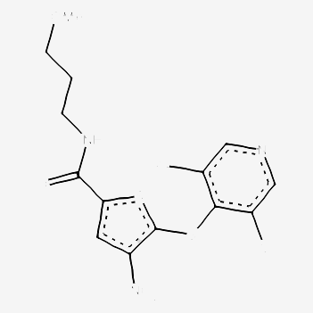 COCCCNC(=O)c1cc([N+](=O)[O-])c(Sc2c(Cl)cncc2Cl)s1